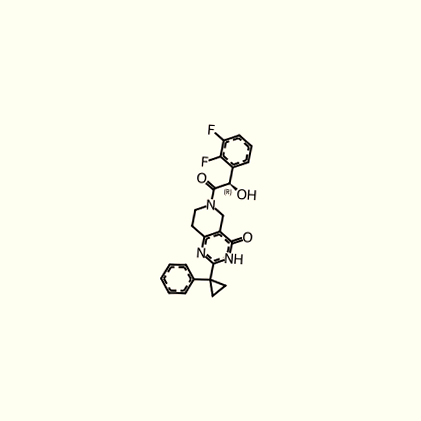 O=C([C@H](O)c1cccc(F)c1F)N1CCc2nc(C3(c4ccccc4)CC3)[nH]c(=O)c2C1